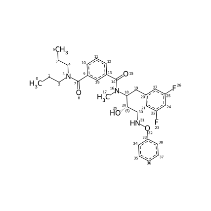 CCCN(CCC)C(=O)c1cccc(C(=O)N(C)C(Cc2cc(F)cc(F)c2)[C@@H](O)CNOc2ccccc2)c1